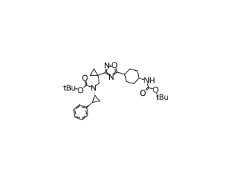 CC(C)(C)OC(=O)NC1CCC(c2nc(C3(CN(C(=O)OC(C)(C)C)[C@@H]4C[C@H]4c4ccccc4)CC3)no2)CC1